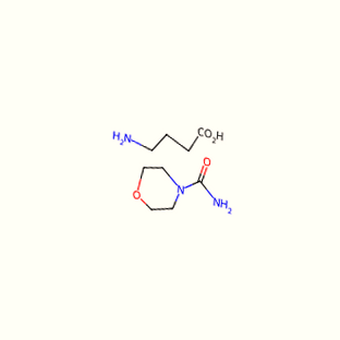 NC(=O)N1CCOCC1.NCCCC(=O)O